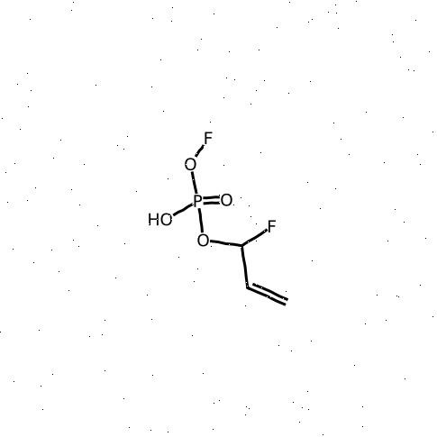 C=CC(F)OP(=O)(O)OF